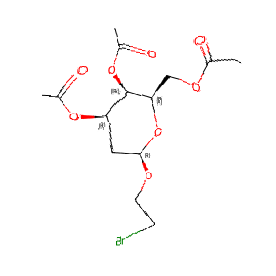 CC(=O)OC[C@H]1O[C@@H](OCCBr)C[C@@H](OC(C)=O)[C@H]1OC(C)=O